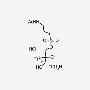 CC(=O)NCCCS(=O)(=O)OCC(C)(C)[C@@H](O)C(=O)O.Cl